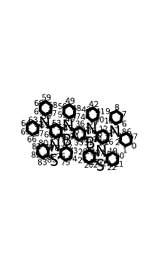 c1ccc(N(c2ccccc2)c2cc3c4c(c2)N2c5ccccc5Sc5cccc(c52)B4c2cc4c(cc2N3c2ccccc2)N(c2ccccc2)c2cc(N(c3ccccc3)c3ccccc3)cc3c2B4c2cccc4c2N3c2ccccc2S4)cc1